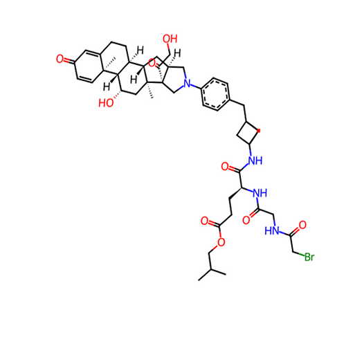 CC(C)COC(=O)CC[C@H](NC(=O)CNC(=O)CBr)C(=O)NC12CC(Cc3ccc(N4C[C@@H]5C[C@H]6[C@@H]7CCC8=CC(=O)C=C[C@]8(C)[C@H]7[C@@H](O)C[C@]6(C)[C@]5(C(=O)CO)C4)cc3)(C1)C2